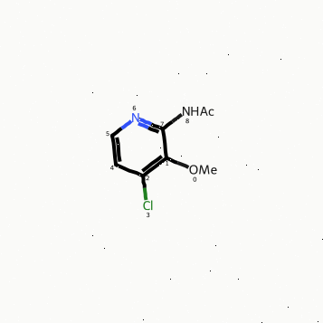 COc1c(Cl)ccnc1NC(C)=O